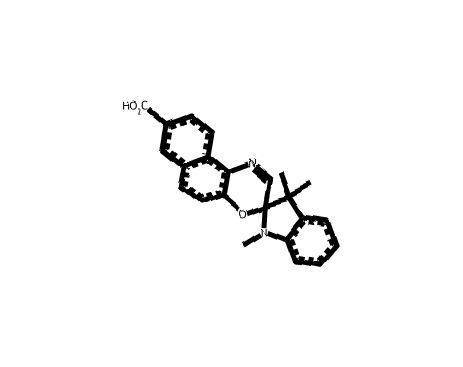 CN1c2ccccc2C(C)(C)C12C=Nc1c(ccc3cc(C(=O)O)ccc13)O2